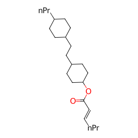 CCCC=CC(=O)OC1CCC(CCC2CCC(CCC)CC2)CC1